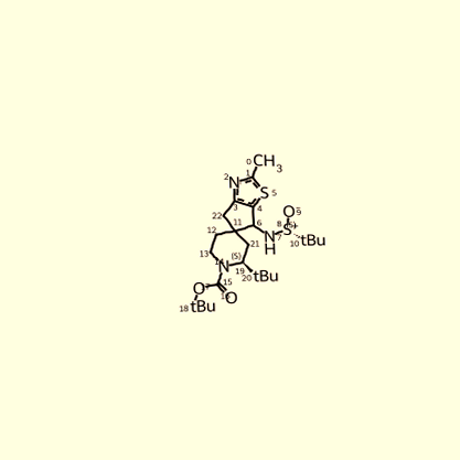 Cc1nc2c(s1)C(N[S@+]([O-])C(C)(C)C)C1(CCN(C(=O)OC(C)(C)C)[C@H](C(C)(C)C)C1)C2